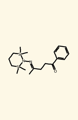 CC(CCC(=O)c1ccccc1)=NN1[Si](C)(C)CCC[Si]1(C)C